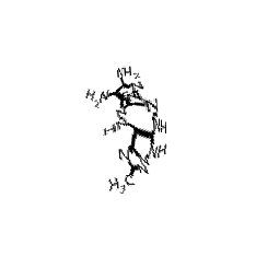 CCC1N2Nc3c([nH]n4nc(C)nc34)NN1n1nc(N)c(N)c12